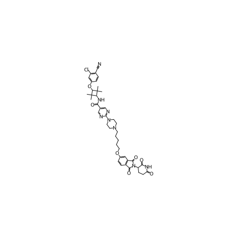 CC1(C)C(NC(=O)c2cnc(N3CCN(CCCCCOc4ccc5c(c4)C(=O)N(C4CCC(=O)NC4=O)C5=O)CC3)nc2)C(C)(C)C1Oc1ccc(C#N)c(Cl)c1